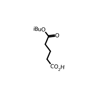 CC(C)COC(=O)CCCC(=O)O